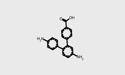 Nc1ccc(-c2ccc(N)cc2-c2ccc(C(=O)O)cc2)cc1